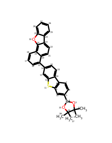 CC1(C)OB(c2ccc3c(c2)sc2cc(-c4cccc5c4ccc4c6ccccc6oc54)ccc23)OC1(C)C